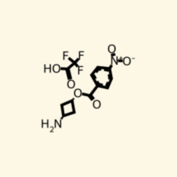 N[C@H]1C[C@H](OC(=O)c2ccc([N+](=O)[O-])cc2)C1.O=C(O)C(F)(F)F